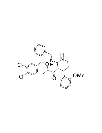 COc1ccccc1C1CCNC(NCc2ccccc2)C1C(=O)C(C)OCc1ccc(Cl)c(Cl)c1